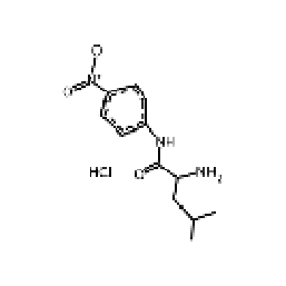 CC(C)CC(N)C(=O)Nc1ccc([N+](=O)[O-])cc1.Cl